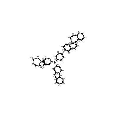 CC1C=Cc2oc3cc(N(c4ccc(-c5ccc6c(ccc7c8ccccc8ccc67)c5)cc4)c4ccc5c(c4)oc4ccccc45)ccc3c2C1